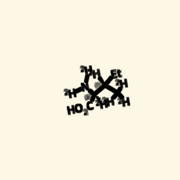 [2H]N([2H])[C@]([2H])(C(=O)O)[C@]([2H])(CC)C([2H])([2H])[2H]